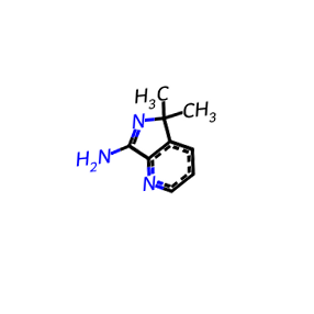 CC1(C)N=C(N)c2ncccc21